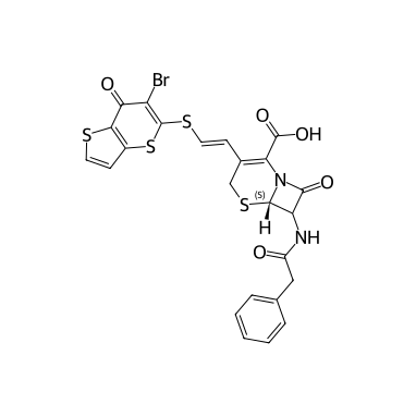 O=C(Cc1ccccc1)NC1C(=O)N2C(C(=O)O)=C(C=CSc3sc4ccsc4c(=O)c3Br)CS[C@@H]12